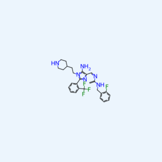 C=C(/N=C\c1nc(-c2ccccc2C(F)(F)F)n(CCC2CCNCC2)c1N)NCc1ccccc1F